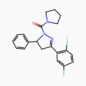 O=C(N1CCCC1)N1N=C(c2cc(F)ccc2F)CC1c1ccccc1